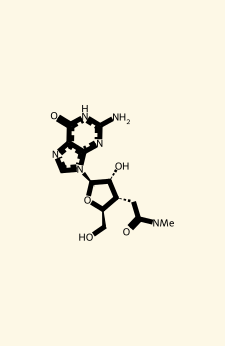 CNC(=O)C[C@H]1[C@@H](O)[C@H](n2cnc3c(=O)[nH]c(N)nc32)O[C@@H]1CO